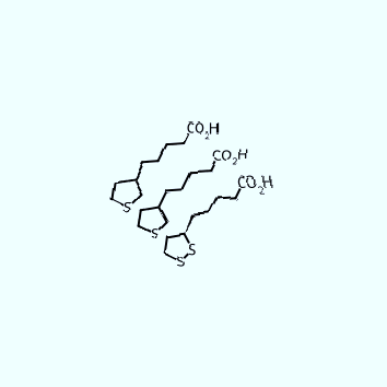 O=C(O)CCCCC1CCSC1.O=C(O)CCCCC1CCSC1.O=C(O)CCCC[C@@H]1CCSS1